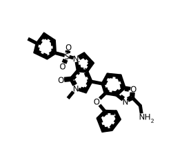 Cc1ccc(S(=O)(=O)n2ccc3c(-c4ccc5oc(CN)nc5c4Oc4ccccc4)cn(C)c(=O)c32)cc1